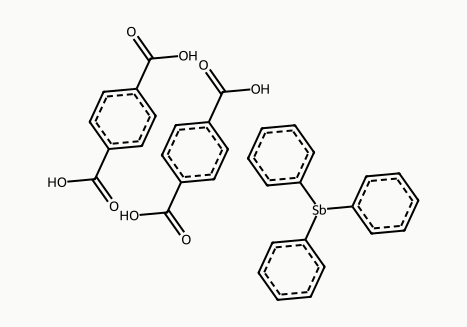 O=C(O)c1ccc(C(=O)O)cc1.O=C(O)c1ccc(C(=O)O)cc1.c1cc[c]([Sb]([c]2ccccc2)[c]2ccccc2)cc1